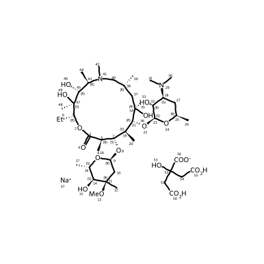 CC[C@H]1OC(=O)[C@H](C)[C@@H](O[C@H]2C[C@@](C)(OC)[C@@H](O)[C@H](C)O2)[C@H](C)[C@@H](O[C@@H]2O[C@H](C)C[C@H](N(C)C)[C@H]2O)[C@](C)(O)C[C@@H](C)CN(C)[C@H](C)[C@@H](O)[C@]1(C)O.O=C(O)CC(O)(CC(=O)O)C(=O)[O-].[Na+]